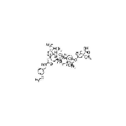 C=C(C)[C@@H]1CC[C@]2(CC(=O)NCc3cccc(OC)c3)CC[C@]3(C)[C@H](CC[C@@H]4[C@@]5(C)CC[C@H](OC(=O)CC(C)(C)C(=O)O)C(C)(C)[C@@H]5CC[C@]43C)[C@@H]12